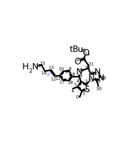 Cc1sc2c(c1C)C(c1ccc(/C=C/CCN)cc1)=NC(CC(=O)OC(C)(C)C)c1nnc(C)n1-2